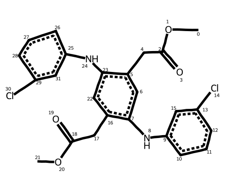 COC(=O)Cc1cc(Nc2cccc(Cl)c2)c(CC(=O)OC)cc1Nc1cccc(Cl)c1